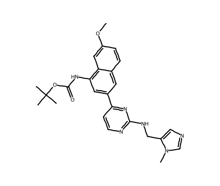 COc1ccc2cc(-c3ccnc(NCc4cncn4C)n3)cc(NC(=O)OC(C)(C)C)c2c1